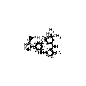 CC1(C)CC(Nc2nc(Nc3cccc(-c4nnnn4C4CC4)c3)ncc2C#N)CC(C)(C)N1